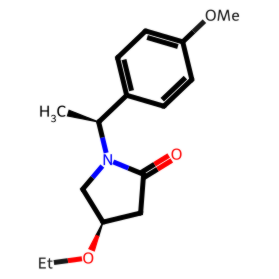 CCO[C@@H]1CC(=O)N([C@@H](C)c2ccc(OC)cc2)C1